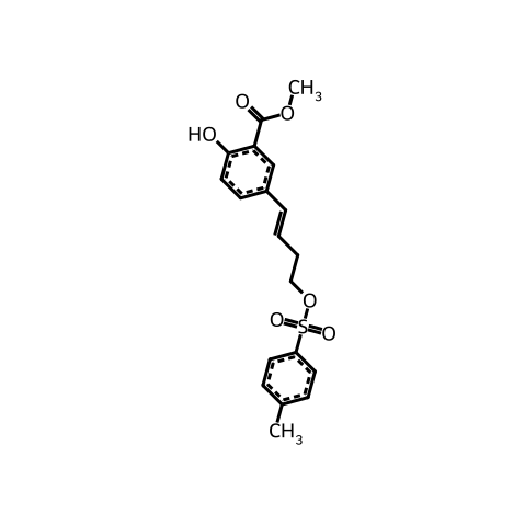 COC(=O)c1cc(C=CCCOS(=O)(=O)c2ccc(C)cc2)ccc1O